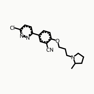 CC1CCCN1CCCOc1ccc(-c2ccc(Cl)nn2)cc1C#N